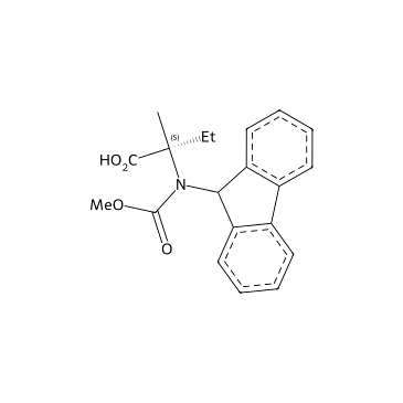 CC[C@@](C)(C(=O)O)N(C(=O)OC)C1c2ccccc2-c2ccccc21